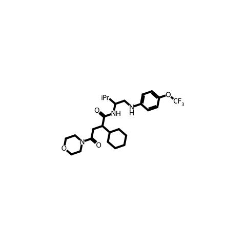 CC(C)C(CNc1ccc(OC(F)(F)F)cc1)NC(=O)C(CC(=O)N1CCOCC1)C1CCCCC1